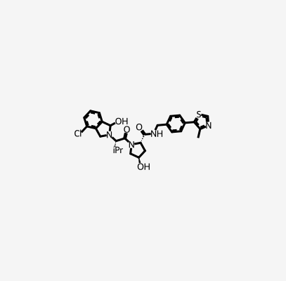 Cc1ncsc1-c1ccc(CNC(=O)[C@@H]2C[C@@H](O)CN2C(=O)[C@H](C(C)C)N2Cc3c(Cl)cccc3C2O)cc1